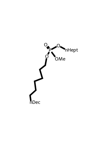 CCCCCCCCCCCCCCCCOP(=O)(OC)OCCCCCCC